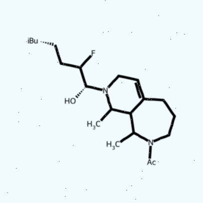 CC[C@@H](C)CCC(F)[C@@H](O)N1CC=C2CCCN(C(C)=O)C(C)C2C1C